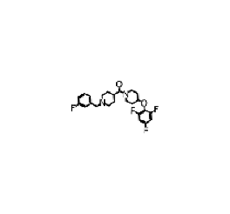 O=C(C1CCN(Cc2cccc(F)c2)CC1)N1CCC(Oc2c(F)cc(F)cc2F)CC1